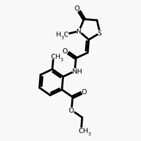 CCOC(=O)c1cccc(C)c1NC(=O)C=C1SCC(=O)N1C